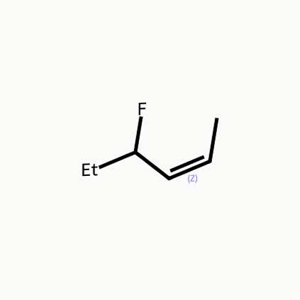 C/C=C\C(F)CC